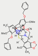 COc1cc2c(cc1OCc1ccccc1)CCN[C@]21CS[C@@H]2c3c(OC(C)=O)c(C)c4c(c3[C@H](COC1=O)N1C2[C@H]2c3c(cc(C)c(OC)c3OCc3ccccc3)C[C@@H]([C@@H]1C#N)N2C)OCO4